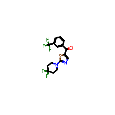 O=C(c1cccc(C(F)(F)F)c1)c1cnc(N2CCC(F)(F)CC2)s1